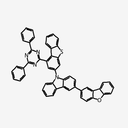 c1ccc(-c2nc(-c3ccccc3)nc(-c3cc(-n4c5ccccc5c5cc(-c6ccc7oc8ccccc8c7c6)ccc54)cc4sc5ccccc5c34)n2)cc1